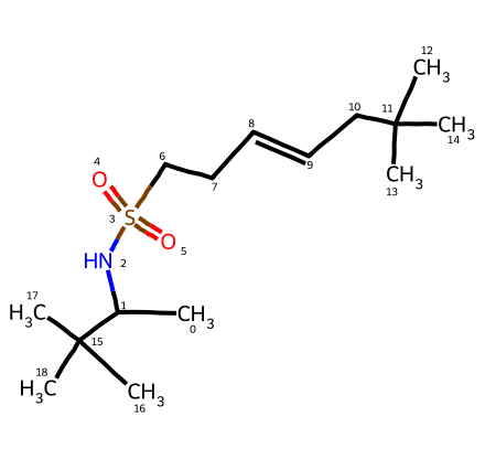 CC(NS(=O)(=O)CC/C=C/CC(C)(C)C)C(C)(C)C